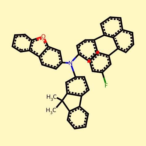 CC1(C)c2ccccc2-c2ccc(N(c3ccc(-c4cccc5cccc(-c6cccc(F)c6)c45)cc3)c3ccc4c(c3)oc3ccccc34)cc21